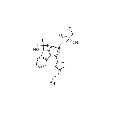 CC(C)(CO)CCc1cc(-c2cnn(CCO)c2)c2c(c1)C(O)(C(F)(F)F)c1ccccc1-2